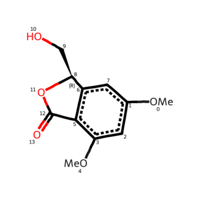 COc1cc(OC)c2c(c1)[C@H](CO)OC2=O